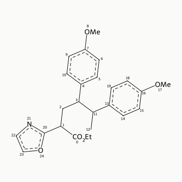 CCOC(=O)C(CC(c1ccc(OC)cc1)C(C)c1ccc(OC)cc1)c1ncco1